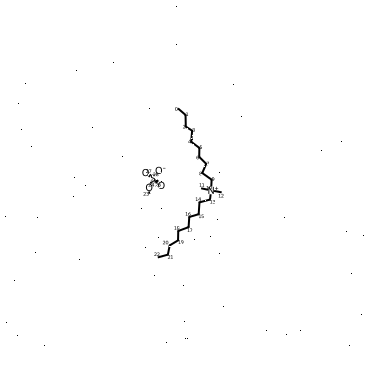 CCCCCCCCCC[N+](C)(C)CCCCCCCCCC.COS(=O)(=O)[O-]